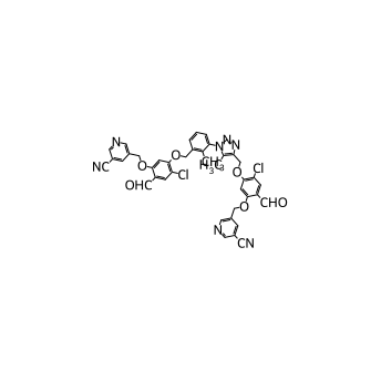 Cc1c(COc2cc(OCc3cncc(C#N)c3)c(C=O)cc2Cl)cccc1-n1nnc(COc2cc(OCc3cncc(C#N)c3)c(C=O)cc2Cl)c1C